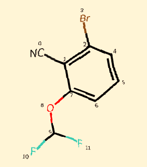 N#Cc1c(Br)cccc1OC(F)F